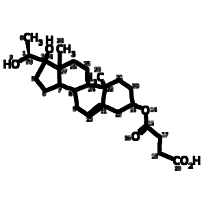 C[C@H](O)C1(O)CCC2C3CC=C4CC(OC(=O)CCC(=O)O)CCC4(C)C3CCC21C